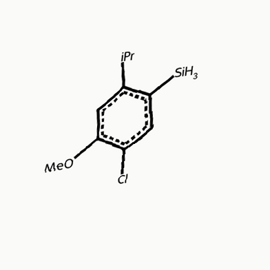 COc1cc(C(C)C)c([SiH3])cc1Cl